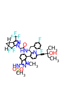 CCC(O)(C#Cc1ccc(-c2cccc3c(NS(C)(=O)=O)nn(C)c23)c([C@H](Cc2cc(F)cc(F)c2)NC(=O)Cn2nc(C(F)(F)F)c3c2C(F)(F)[C@@H]2C[C@H]32)n1)CC